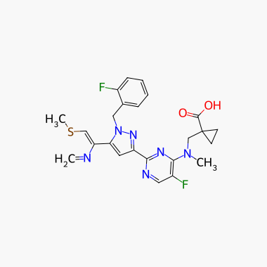 C=N/C(=C\SC)c1cc(-c2ncc(F)c(N(C)CC3(C(=O)O)CC3)n2)nn1Cc1ccccc1F